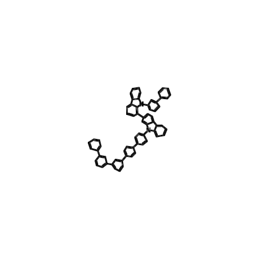 c1ccc(-c2cccc(-c3cccc(-c4ccc(-c5ccc(-n6c7ccccc7c7ccc(-c8cccc9c%10ccccc%10n(-c%10cccc(-c%11ccccc%11)c%10)c89)cc76)cc5)cc4)c3)c2)cc1